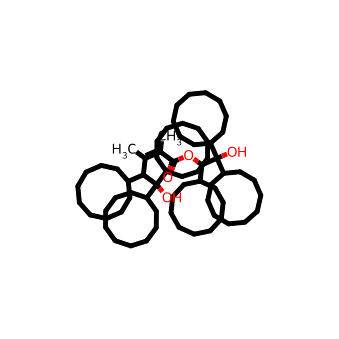 CC(C(=O)OC(C1CCCCCCCCC1)C(O)(C1CCCCCCCCC1)C1CCCCCCCCC1)=C(C)C(C1CCCCCCCCC1)C(O)(C1CCCCCCCCC1)C1CCCCCCCCC1